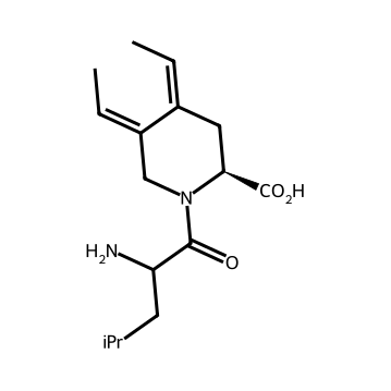 C/C=C1/C[C@@H](C(=O)O)N(C(=O)C(N)CC(C)C)C/C1=C/C